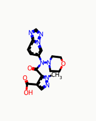 Cn1ncc(C(=O)O)c1C(=O)N(c1ccc2ncnn2c1)N1CCOCC1